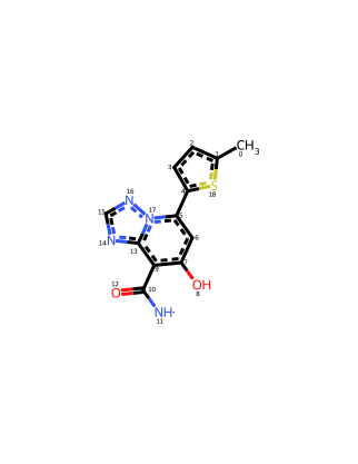 Cc1ccc(-c2cc(O)c(C([NH])=O)c3ncnn23)s1